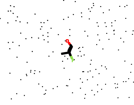 C/C(F)=C\[O]